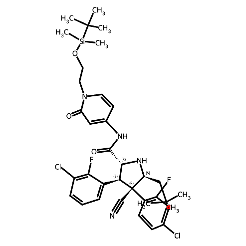 CC(C)(C)C[C@@H]1N[C@@H](C(=O)Nc2ccn(CCO[Si](C)(C)C(C)(C)C)c(=O)c2)[C@H](c2cccc(Cl)c2F)[C@@]1(C#N)c1ccc(Cl)cc1F